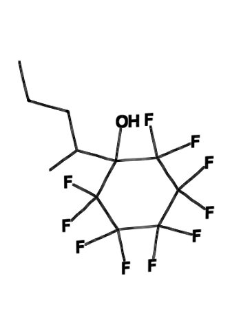 CCCC(C)C1(O)C(F)(F)C(F)(F)C(F)(F)C(F)(F)C1(F)F